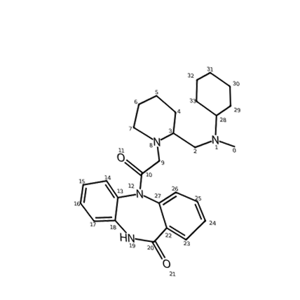 CN(CC1CCCCN1CC(=O)N1c2ccccc2NC(=O)c2ccccc21)C1CCCCC1